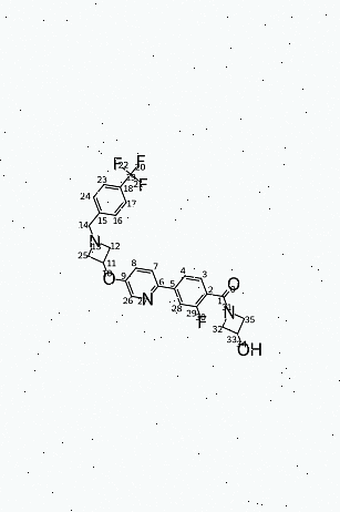 O=C(c1ccc(-c2ccc(OC3CN(Cc4ccc(C(F)(F)F)cc4)C3)cn2)cc1F)N1CC(O)C1